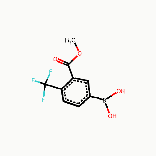 COC(=O)c1cc(B(O)O)ccc1C(F)(F)F